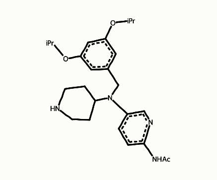 CC(=O)Nc1ccc(N(Cc2cc(OC(C)C)cc(OC(C)C)c2)C2CCNCC2)cn1